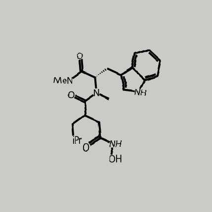 CNC(=O)[C@H](Cc1c[nH]c2ccccc12)N(C)C(=O)C(CC(=O)NO)CC(C)C